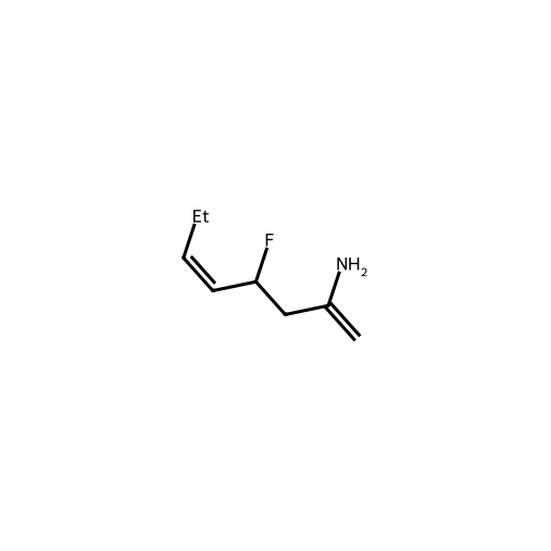 C=C(N)CC(F)/C=C\CC